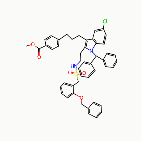 COC(=O)c1ccc(CCCc2c(CCNS(=O)(=O)Cc3ccccc3OCc3ccccc3)n(C(c3ccccc3)c3ccccc3)c3ccc(Cl)cc23)cc1